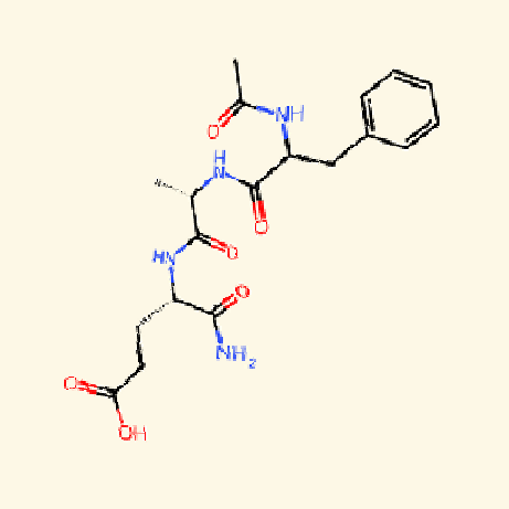 CC(=O)NC(Cc1ccccc1)C(=O)N[C@@H](C)C(=O)N[C@@H](CCC(=O)O)C(N)=O